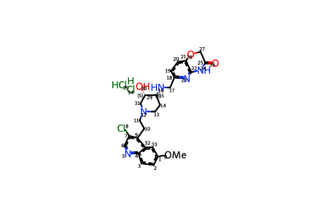 COc1ccc2ncc(Cl)c(CCN3CC[C@@H](NCc4ccc5c(n4)NC(=O)CO5)[C@@H](O)C3)c2c1.Cl.Cl